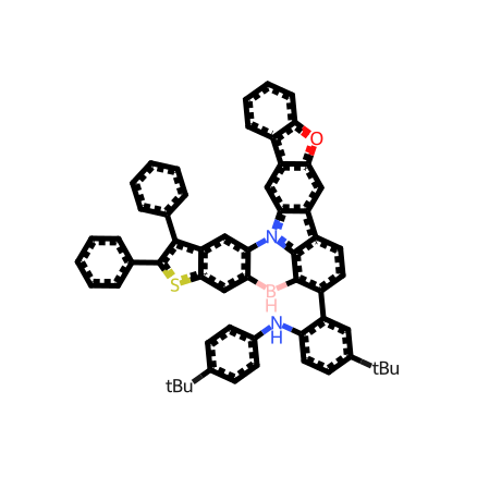 CC(C)(C)c1ccc(Nc2ccc(C(C)(C)C)cc2-c2ccc3c4cc5oc6ccccc6c5cc4n4c3c2Bc2cc3sc(-c5ccccc5)c(-c5ccccc5)c3cc2-4)cc1